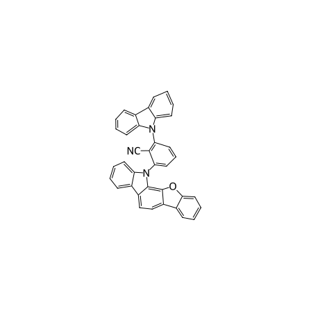 N#Cc1c(-n2c3ccccc3c3ccccc32)cccc1-n1c2ccccc2c2ccc3c4ccccc4oc3c21